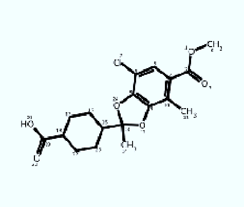 COC(=O)c1cc(Cl)c2c(c1C)OC(C)(C1CCC(C(=O)O)CC1)O2